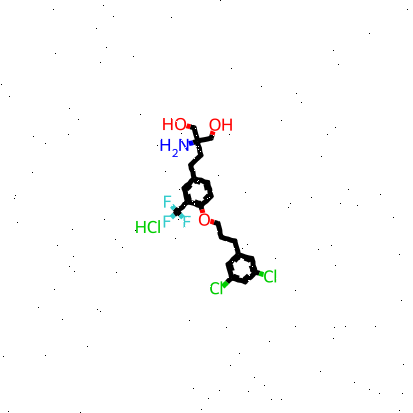 Cl.NC(CO)(CO)CCc1ccc(OCCCc2cc(Cl)cc(Cl)c2)c(C(F)(F)F)c1